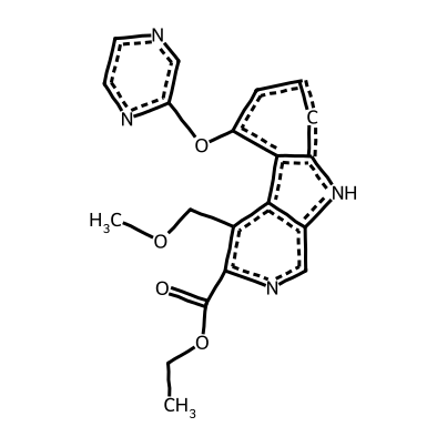 CCOC(=O)c1ncc2[nH]c3cccc(Oc4cnccn4)c3c2c1COC